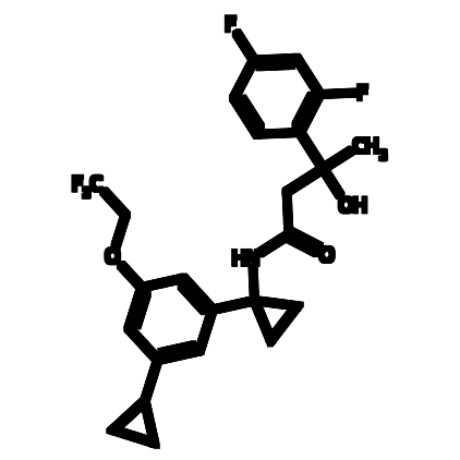 CC(O)(CC(=O)NC1(c2cc(OCC(F)(F)F)cc(C3CC3)c2)CC1)c1ccc(F)cc1F